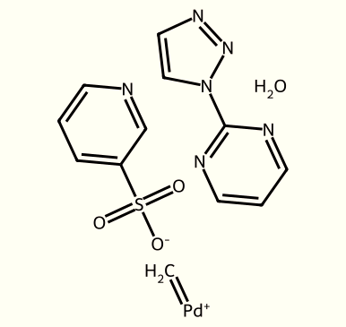 O.O=S(=O)([O-])c1cccnc1.[CH2]=[Pd+].c1cnc(-n2ccnn2)nc1